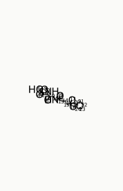 NC(CS(=O)(=O)O)C(=O)CNC(=O)CCCC(=O)Oc1ccccc1